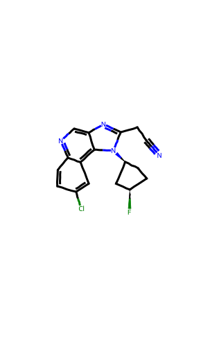 N#CCc1nc2cnc3ccc(Cl)cc3c2n1[C@H]1CC[C@@H](F)C1